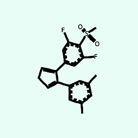 Cc1cc(C)cc(C2=CCC=C2c2cc(F)c(S(C)(=O)=O)c(F)c2)c1